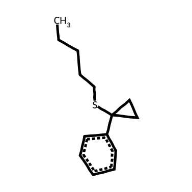 CCCCCSC1(c2ccccc2)CC1